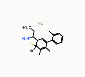 CC1=C(C)C(F)(C#N)C(C(N)CC(=O)O)C=C1c1ccccc1C.Cl